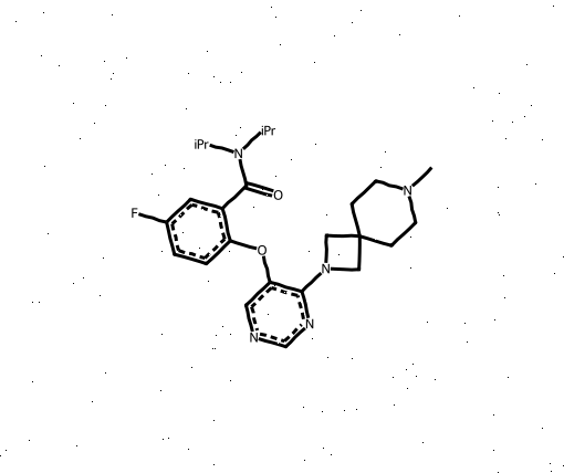 CC(C)N(C(=O)c1cc(F)ccc1Oc1cncnc1N1CC2(CCN(C)CC2)C1)C(C)C